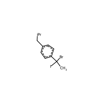 CC(C)Cc1ccc(C(C)(Br)I)cc1